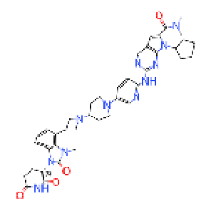 CN(C)C(=O)c1cc2cnc(Nc3ccc(N4CCC(N5CC(c6cccc7c6n(C)c(=O)n7[C@H]6CCC(=O)NC6=O)C5)CC4)cn3)nc2n1C1CCCC1